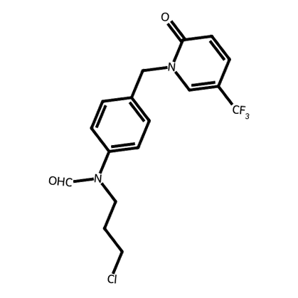 O=CN(CCCCl)c1ccc(Cn2cc(C(F)(F)F)ccc2=O)cc1